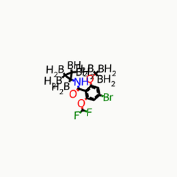 BC(B)(B)Oc1cc(Br)cc(OC(F)F)c1C(=O)NC1(B)C(B)(B)C1(B)B